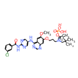 COc1cc2c(Nc3cnc(NC(=O)c4cccc(Cl)c4)nc3)ncnc2cc1OCCCN(CC(C)(C)C)C(C)OP(=O)(O)O